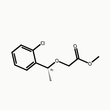 COC(=O)CO[C@H](C)c1ccccc1Cl